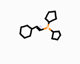 C(=C\P(C1CCCC1)C1CCCC1)/C1CCCCC1